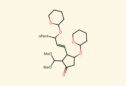 CCCCCC(/C=C/C1C(OC2CCCCO2)CC(=O)C1C(OC)OC)OC1CCCCO1